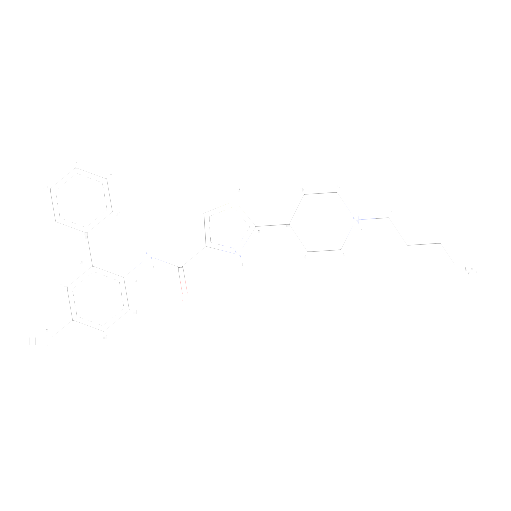 CSCCCN1CCC(c2nc(C(=O)Nc3ccc(C)cc3-c3ccccc3)cs2)CC1